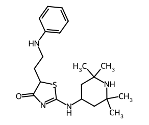 CC1(C)CC(NC2=NC(=O)C(CCNc3ccccc3)S2)CC(C)(C)N1